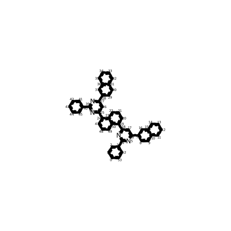 c1ccc(-c2nc(-c3ccc4ccccc4c3)cc(-c3cccc4c(-c5cc(-c6ccc7ccccc7c6)nc(-c6ccccc6)n5)cccc34)n2)cc1